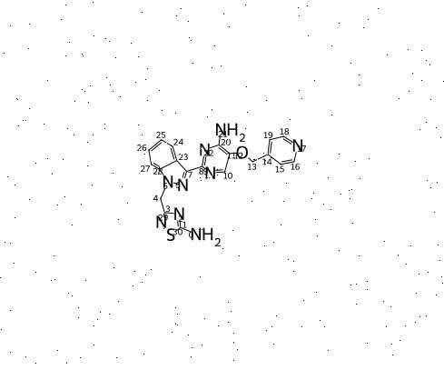 Nc1nc(Cn2nc(-c3ncc(OCc4ccncc4)c(N)n3)c3ccccc32)ns1